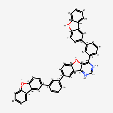 c1cc(-c2ccc3oc4ccccc4c3c2)cc(-c2ccc3oc4c(-c5cccc(-c6ccc7oc8ccccc8c7c6)c5)ncnc4c3c2)c1